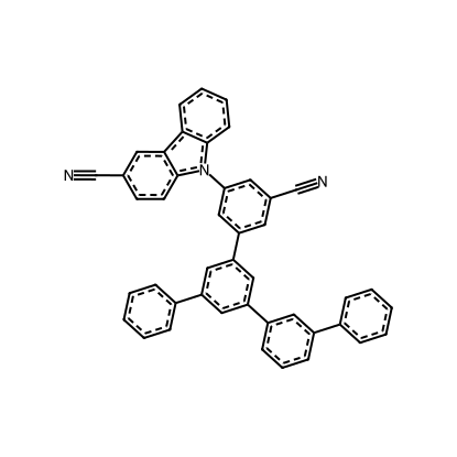 N#Cc1cc(-c2cc(-c3ccccc3)cc(-c3cccc(-c4ccccc4)c3)c2)cc(-n2c3ccccc3c3cc(C#N)ccc32)c1